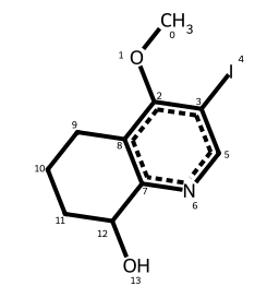 COc1c(I)cnc2c1CCCC2O